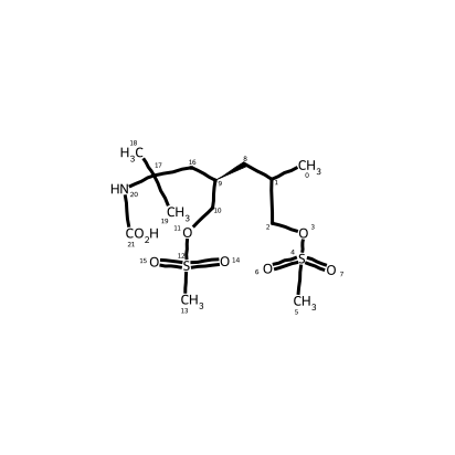 CC(COS(C)(=O)=O)C[C@@H](COS(C)(=O)=O)CC(C)(C)NC(=O)O